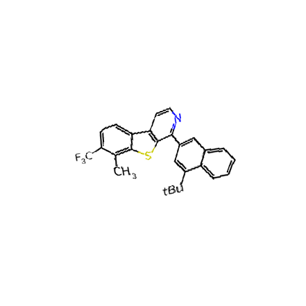 Cc1c(C(F)(F)F)ccc2c1sc1c(-c3cc(C(C)(C)C)c4ccccc4c3)nccc12